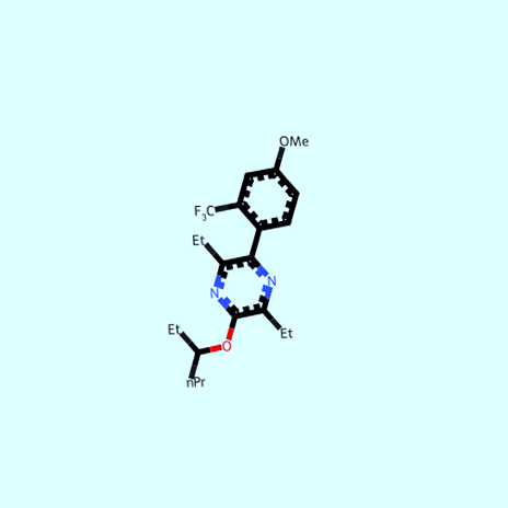 CCCC(CC)Oc1nc(CC)c(-c2ccc(OC)cc2C(F)(F)F)nc1CC